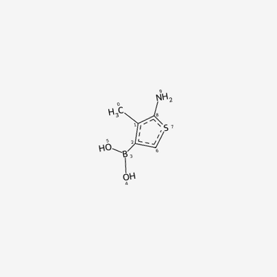 Cc1c(B(O)O)csc1N